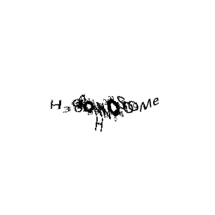 COOSc1ccc(N=NNc2ccc(S(C)(=O)=O)cc2)cc1